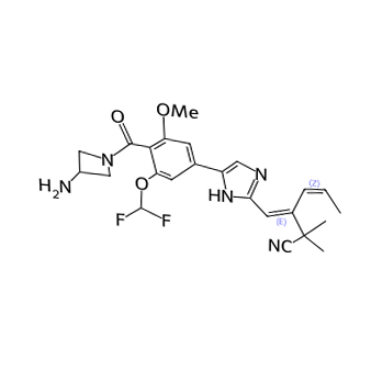 C/C=C\C(=C/c1ncc(-c2cc(OC)c(C(=O)N3CC(N)C3)c(OC(F)F)c2)[nH]1)C(C)(C)C#N